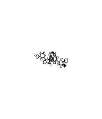 COc1ccc(C)c(C(=O)NC2(c3cc(-c4ccc(F)c(Cl)c4)cc4ncccc34)CC2)c1